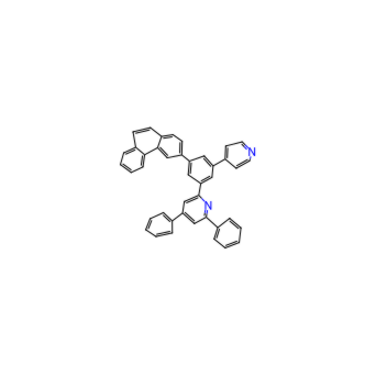 c1ccc(-c2cc(-c3ccccc3)nc(-c3cc(-c4ccncc4)cc(-c4ccc5ccc6ccccc6c5c4)c3)c2)cc1